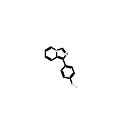 FC(F)(F)c1ccc(-c2ncn3ccccc23)cc1